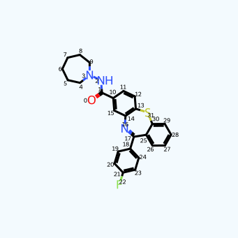 O=C(NN1CCCCCC1)c1ccc2c(c1)N=C(c1ccc(F)cc1)c1ccccc1S2